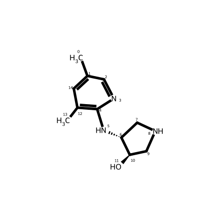 Cc1cnc(N[C@@H]2CNC[C@H]2O)c(C)c1